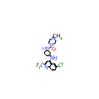 CN1CCN(C(=O)N[C@@H]2CCC[C@H](Nc3cc(C(F)(F)F)nc4ccc(Cl)cc34)C2)CC1